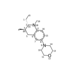 CC[C@H]1[C@H](C)Cc2cc(N3CCOCC3)ccc2N1C